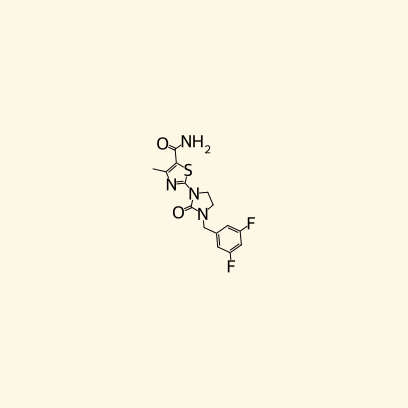 Cc1nc(N2CCN(Cc3cc(F)cc(F)c3)C2=O)sc1C(N)=O